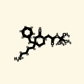 CC(C)(C)OC(=O)CN1CCC(CCCCN)(Cc2ccccc2)CC1=O